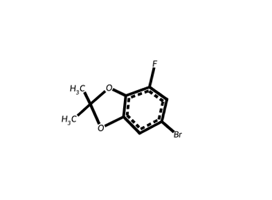 CC1(C)Oc2cc(Br)cc(F)c2O1